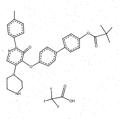 Cc1ccc(-n2ncc(N3CCNCC3)c(Oc3ccc(-c4ccc(OC(=O)C(C)(C)C)cc4)cc3)c2=O)cc1.O=C(O)C(F)(F)F